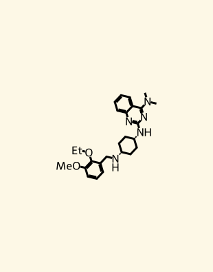 CCOc1c(CN[C@H]2CC[C@@H](Nc3nc(N(C)C)c4ccccc4n3)CC2)cccc1OC